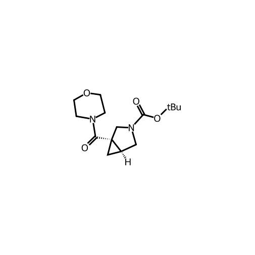 CC(C)(C)OC(=O)N1C[C@H]2C[C@@]2(C(=O)N2CCOCC2)C1